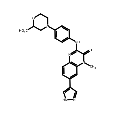 Cn1c(=O)c(Nc2ccc(N3CCOC(C(=O)O)C3)cc2)nc2ccc(-c3cn[nH]c3)cc21